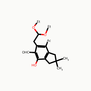 CCOC(Cc1c(C=O)c(O)c2c(c1C(C)=O)CC(C)(C)C2)OCC